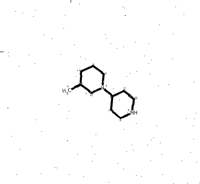 CC1CCCN(C2CCNCC2)C1